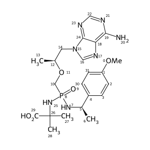 COc1ccc([C@@H](C)NP(=O)(CO[C@@H](C)Cn2cnc3c(N)ncnc32)NC(C)(C)C(=O)O)cc1